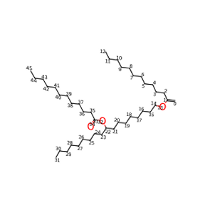 C=C(CCCCCCCCCCC)OCCCCCCCCC(CCCCCCCCC)OC(=O)CCCCCCCCCCC